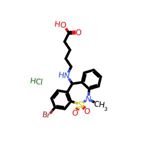 CN1c2ccccc2C(NCCCCC(=O)O)c2ccc(Br)cc2S1(=O)=O.Cl